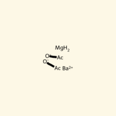 CC(=O)[O-].CC(=O)[O-].[Ba+2].[MgH2]